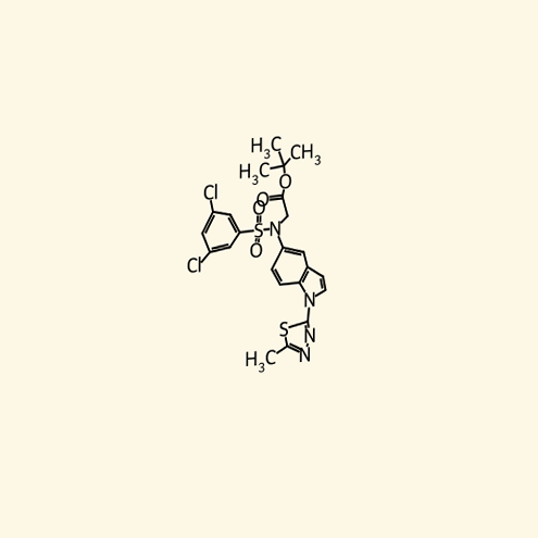 Cc1nnc(-n2ccc3cc(N(CC(=O)OC(C)(C)C)S(=O)(=O)c4cc(Cl)cc(Cl)c4)ccc32)s1